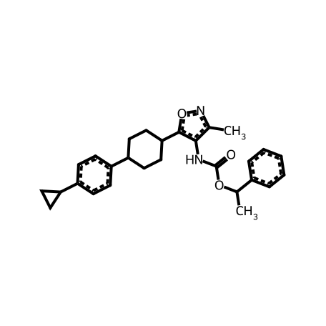 Cc1noc(C2CCC(c3ccc(C4CC4)cc3)CC2)c1NC(=O)OC(C)c1ccccc1